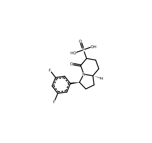 O=C1C(P(=O)(O)O)CC[C@H]2CC[C@@H](c3cc(F)cc(F)c3)N12